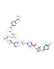 Cc1ncsc1-c1ccc([C@H](C)NC(=O)[C@@H]2C[C@@H](O)CN2C(=O)C(C(C)C)n2cc(-c3ccnc(OC4CN(c5ncc(C(=O)NC6C(C)(C)C(Oc7ccc(C#N)c(Cl)c7)C6(C)C)cn5)C4)c3)cn2)cc1